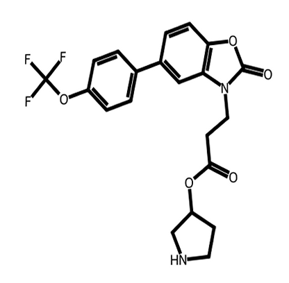 O=C(CCn1c(=O)oc2ccc(-c3ccc(OC(F)(F)F)cc3)cc21)OC1CCNC1